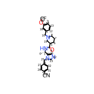 C[C@H](NC(=O)C1CCCN(Cc2cccc(OC(F)(F)F)c2)C1)c1cncn1Cc1ccc(C#N)cc1